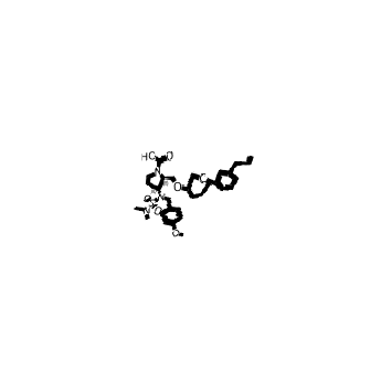 C=CCc1cccc(C2CCC(OC[C@H]3[C@@H](N(Cc4ccc(OC)cc4)S(=O)(=O)N(C)C)CCN3C(=O)O)CC2)c1